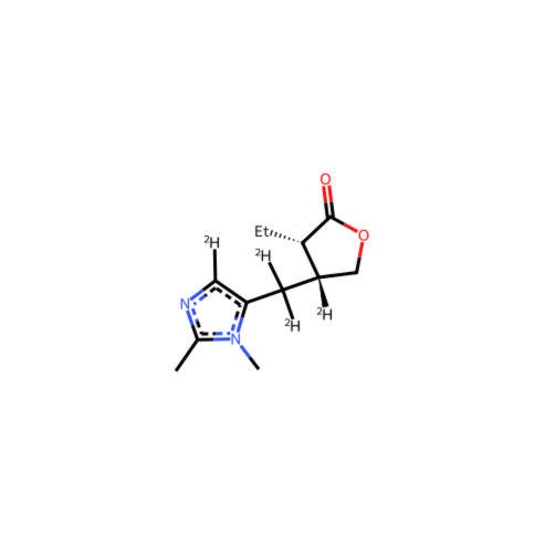 [2H]c1nc(C)n(C)c1C([2H])([2H])[C@@]1([2H])COC(=O)[C@H]1CC